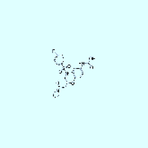 O=C(O)Nc1ccc2c(c1)N(S(=O)(=O)c1ccc(F)cc1)CC(CC(=O)N1CCC1)O2